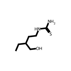 CCC(CO)CCNC(N)=S